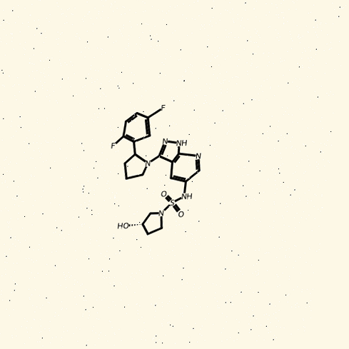 O=S(=O)(Nc1cnc2[nH]nc(N3CCCC3c3cc(F)ccc3F)c2c1)N1CC[C@H](O)C1